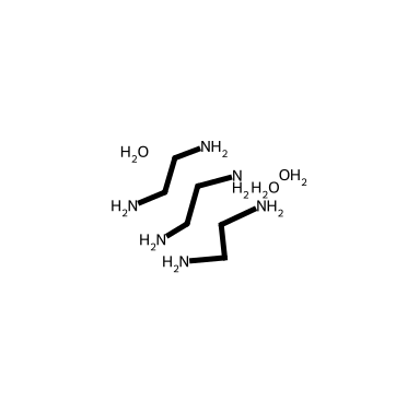 NCCN.NCCN.NCCN.O.O.O